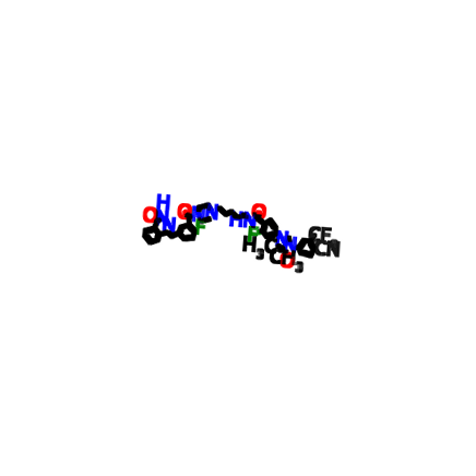 CC1(C)C(=O)N(c2ccc(C#N)c(C(F)(F)F)c2)CN1c1ccc(C(=O)NCCCCCN2CCN(C(=O)c3cc(Cc4n[nH]c(=O)c5ccccc45)ccc3F)CC2)c(F)c1